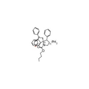 CCCCOC(=O)N1C[C@@H](P)C(c2ccccc2)[C@@]1(CP(c1ccccc1)c1ccccc1)c1ccccc1